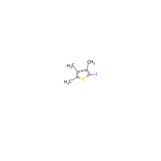 Cc1sc(I)c(C)c1C